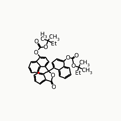 CCC(C)(C)OC(=O)Oc1ccc(C2(c3ccc(OC(=O)OC(C)(C)CC)c4ccccc34)OC(=O)c3ccccc32)c2ccccc12